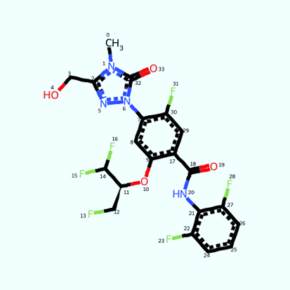 Cn1c(CO)nn(-c2cc(O[C@@H](CF)C(F)F)c(C(=O)Nc3c(F)cccc3F)cc2F)c1=O